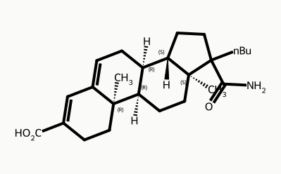 CCCCC1(C(N)=O)CC[C@H]2[C@@H]3CC=C4C=C(C(=O)O)CC[C@]4(C)[C@@H]3CC[C@@]21C